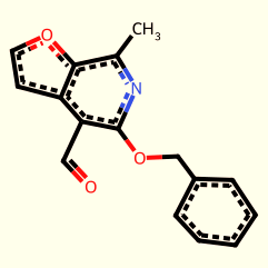 Cc1nc(OCc2ccccc2)c(C=O)c2ccoc12